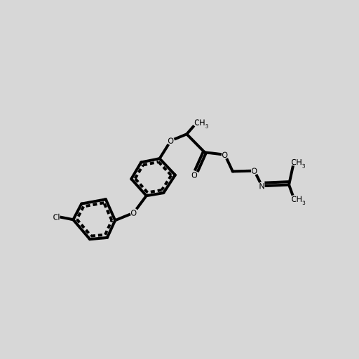 CC(C)=NOCOC(=O)C(C)Oc1ccc(Oc2ccc(Cl)cc2)cc1